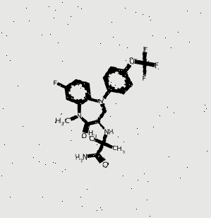 CN1C(=O)[C@H](NC(C)(C)C(N)=O)CN(c2ccc(OC(F)(F)F)cc2)c2ccc(F)cc21